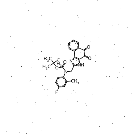 Cc1cc(F)ccc1N(Cc1nc2c([nH]1)C(=O)C(=O)c1ccccc1-2)C(=O)OC(C)(C)C